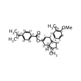 COc1ccc([C@@]23CC=C(OC(=O)c4ccc(N(C)C)cc4)C[C@@H]2N(C)CC3)cc1C